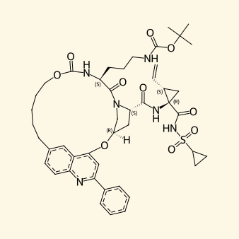 C=C[C@@H]1C[C@]1(NC(=O)[C@@H]1C[C@@H]2CN1C(=O)[C@H](CCCNC(=O)OC(C)(C)C)NC(=O)OCCCCCc1ccc3nc(-c4ccccc4)cc(c3c1)O2)C(=O)NS(=O)(=O)C1CC1